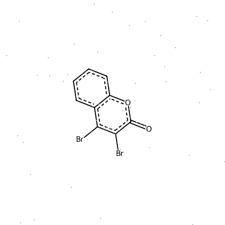 O=c1oc2ccccc2c(Br)c1Br